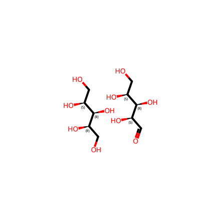 O=C[C@@H](O)[C@H](O)[C@@H](O)CO.OC[C@@H](O)[C@H](O)[C@@H](O)CO